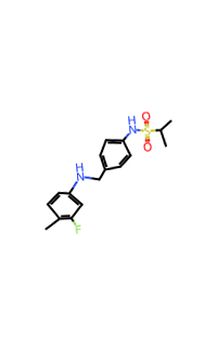 Cc1ccc(NCc2ccc(NS(=O)(=O)C(C)C)cc2)cc1F